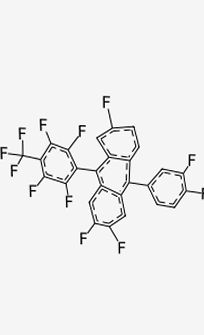 Fc1ccc2c(-c3ccc(F)c(F)c3)c3cc(F)c(F)cc3c(-c3c(F)c(F)c(C(F)(F)F)c(F)c3F)c2c1